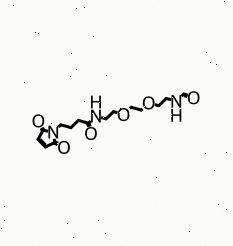 O=CNCCOCCOCCNC(=O)CCCN1C(=O)C=CC1=O